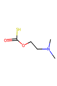 CN(C)CCOC(=O)S